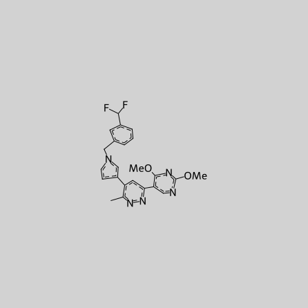 COc1ncc(-c2cc(-c3ccn(Cc4cccc(C(F)F)c4)c3)c(C)nn2)c(OC)n1